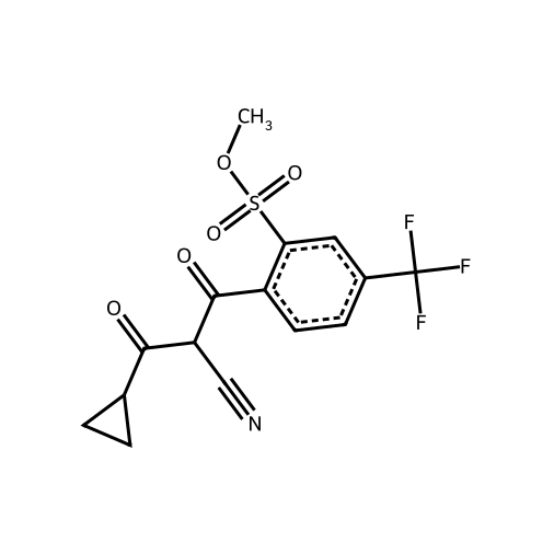 COS(=O)(=O)c1cc(C(F)(F)F)ccc1C(=O)C(C#N)C(=O)C1CC1